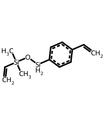 C=Cc1ccc([SiH2]O[Si](C)(C)C=C)cc1